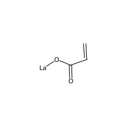 C=CC(=O)[O][La]